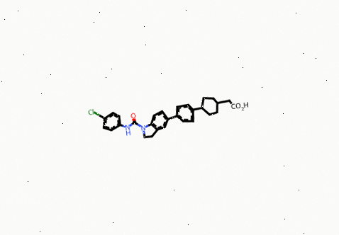 O=C(O)CC1CCC(c2ccc(-c3ccc4c(c3)CCN4C(=O)Nc3ccc(Cl)cc3)cc2)CC1